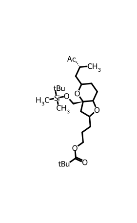 CC(=O)[C@H](C)CC1CCC2OC(CCCOC(=O)C(C)(C)C)C[C@]2(CO[Si](C)(C)C(C)(C)C)O1